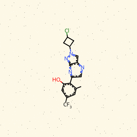 Cc1cc(C(F)(F)F)cc(O)c1-c1cnc2cn(C3CC(Cl)C3)nc2n1